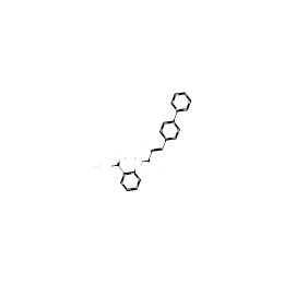 C/C(=C\c1ccc(-c2ccccc2)cc1)C(=O)Nc1ccccc1C(=O)O